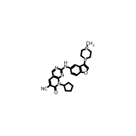 CN1CCN(c2coc3ccc(Nc4ncc5cc(C#N)c(=O)n(C6CCCC6)c5n4)cc23)CC1